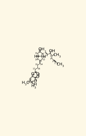 CC#CCC(C)[C@H](O)C=C[C@@H]1[C@H]2CC(=CCCCC(=O)OC(CC(C)C)C(=O)O)C[C@H]2C[C@H]1O